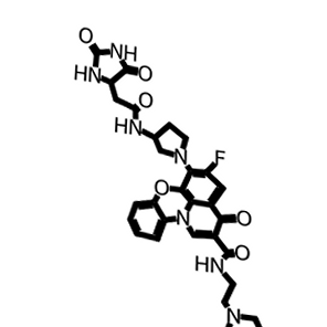 O=C(CC1NC(=O)NC1=O)NC1CCN(c2c(F)cc3c(=O)c(C(=O)NCCN4CCCC4)cn4c3c2Oc2ccccc2-4)C1